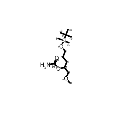 COCC(CCCO[Si](C)(C)C(C)(C)C)OC(N)=O